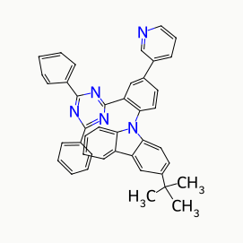 CC(C)(C)c1ccc2c(c1)c1ccccc1n2-c1ccc(-c2cccnc2)cc1-c1nc(-c2ccccc2)nc(-c2ccccc2)n1